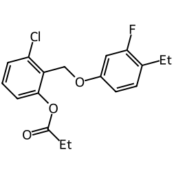 CCC(=O)Oc1cccc(Cl)c1COc1ccc(CC)c(F)c1